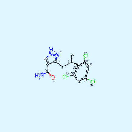 CC(Cc1n[nH]cc1C(N)=O)c1c(Cl)cc(Cl)cc1Cl